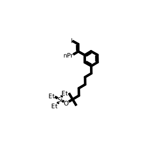 CCC/C(=C\I)c1cccc(CCCCCC(C)(C)O[Si](CC)(CC)CC)c1